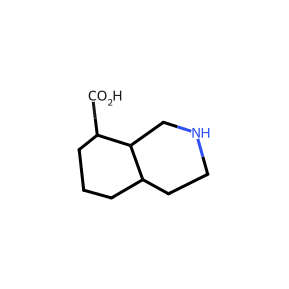 O=C(O)C1CCCC2CCNCC21